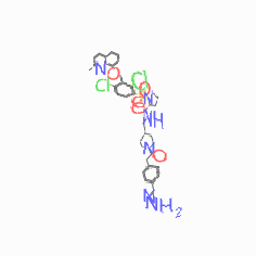 Cc1ccc2cccc(OCc3c(Cl)ccc(S(=O)(=O)N4CCC[C@H]4C(=O)NCC4CCN(C(=O)Cc5ccc(C=NN)cc5)CC4)c3Cl)c2n1